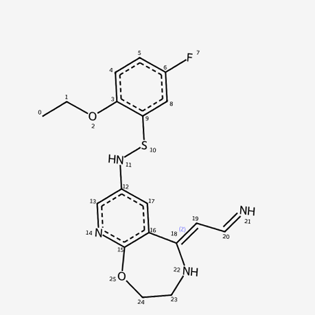 CCOc1ccc(F)cc1SNc1cnc2c(c1)/C(=C/C=N)NCCO2